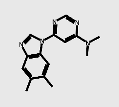 Cc1cc2ncn(-c3cc(N(C)C)ncn3)c2cc1C